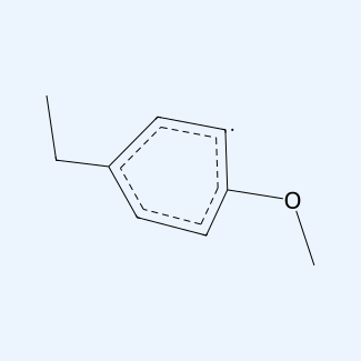 CCc1c[c]c(OC)cc1